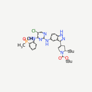 CC(C)(C)OC(=O)N1CC=C(c2n[nH]c3ccc(Nc4ncc(Cl)c(Nc5ccccc5P(C)(C)=O)n4)cc23)CC1C(C)(C)C